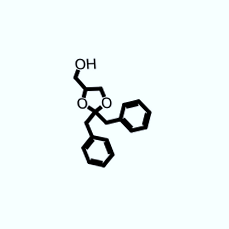 OCC1COC(Cc2ccccc2)(Cc2ccccc2)O1